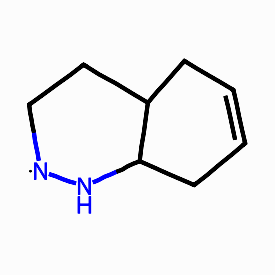 C1=CCC2N[N]CCC2C1